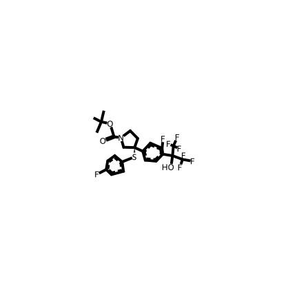 CC(C)(C)OC(=O)N1CC[C@@](Sc2ccc(F)cc2)(c2ccc(C(O)(C(F)(F)F)C(F)(F)F)c(F)c2)C1